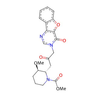 COC(=O)N1CCC[C@@H](OC)[C@@H]1CC(=O)Cn1cnc2c(oc3ccccc32)c1=O